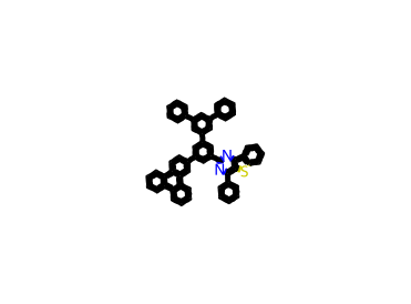 c1ccc(-c2cc(-c3ccccc3)cc(-c3cc(-c4ccc5c6ccccc6c6ccccc6c5c4)cc(-c4nc(-c5ccccc5)c5sc6ccccc6c5n4)c3)c2)cc1